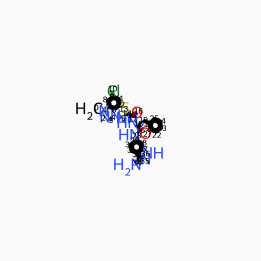 C=N/N=C\N(N)c1ccc(Cl)cc1SCC(=O)N[C@@H](Cc1ccccc1)C(=O)Nc1ccc2c(N)n[nH]c2c1